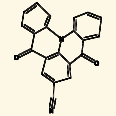 N#Cc1cc2c(=O)c3ccccc3n3c4ccccc4c(=O)c(c1)c23